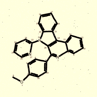 COc1ccc(-c2nc3ccccc3c3c4ccccc4n(-c4ccccn4)c23)cc1